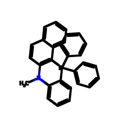 CN1c2ccccc2[Si](c2ccccc2)(c2ccccc2)c2c1ccc1ccccc21